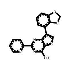 Oc1nc(-c2ccccn2)nc2c(-c3cccc4c3OCO4)csc12